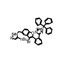 CCCCc1cnnn1Cc1ccc2oc(-c3ccccc3-c3nnn(C(c4ccccc4)(c4ccccc4)c4ccccc4)n3)c(Br)c2c1